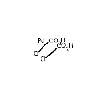 O=C(O)Cl.O=C(O)Cl.[Pd]